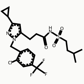 CC(C)CCS(=O)(=O)NC(=O)CCc1cc(C2CC2)nn1Cc1ccc(C(F)(F)F)cc1Cl